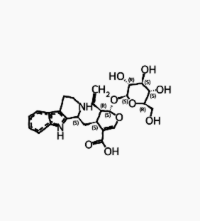 C=C[C@H]1[C@H](O[C@@H]2O[C@H](CO)[C@@H](O)[C@H](O)[C@H]2O)OC=C(C(=O)O)[C@H]1C[C@@H]1NCCc2c1[nH]c1ccccc21